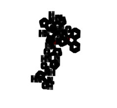 CNC(=O)C1NCCC1NC(=O)[C@H]1CCC[C@H]1NC(=O)C1NCCC1NC(=O)[C@H]1CCC[C@H]1NC(=O)C1NCCC1NC(=O)C1CCCC1NC(=O)C1NCCC1NC(=O)OCCc1ccccc1-c1ccccc1C